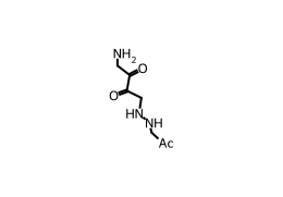 CC(=O)CNNCC(=O)C(=O)CN